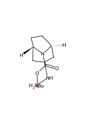 CC(C)(C)OC(=O)N1[C@H]2CC[C@H]1CC(NN)C2